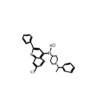 CC(c1ccccc1)N1CCC(N(C)c2cc(-c3ccccc3)nc3cc(Cl)ccc23)CC1.Cl